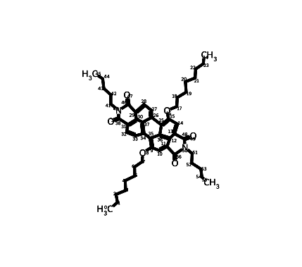 CCCCCCCCOc1cc2c3c(cc(OCCCCCCCC)c4c5ccc6c7c(ccc(c1c34)c75)C(=O)N(CCCCC)C6=O)C(=O)N(CCCCC)C2=O